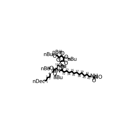 CCCCCCCCCCCCCC[C@@H](OCCCC)[C@@H](OCCCC)[C@H](CO[C@H]1OC(COCCCC)[C@H](OCCCC)[C@H](OCCCC)C1OCCCC)NC(=O)CCCCCCCCCCCNC(=O)N=O